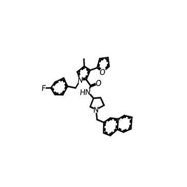 Cc1cn(Cc2ccc(F)cc2)c(C(=O)NC2CCN(Cc3ccc4ccccc4c3)C2)c1-c1ccco1